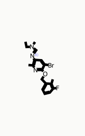 CCN(C)/C=N/c1cc(Br)c(OCc2cccc(F)c2C)nc1C